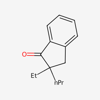 CCCC1(CC)Cc2ccccc2C1=O